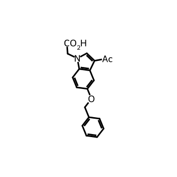 CC(=O)c1cn(CC(=O)O)c2ccc(OCc3ccccc3)cc12